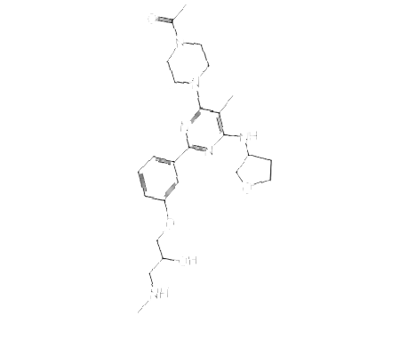 CNCC(O)COc1cccc(-c2nc(NC3CCOC3)c(C)c(N3CCN(C(C)=O)C[C@H]3C)n2)c1